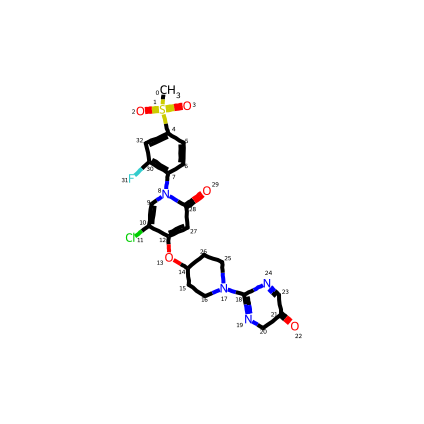 CS(=O)(=O)c1ccc(-n2cc(Cl)c(OC3CCN(C4=NCC(=O)C=N4)CC3)cc2=O)c(F)c1